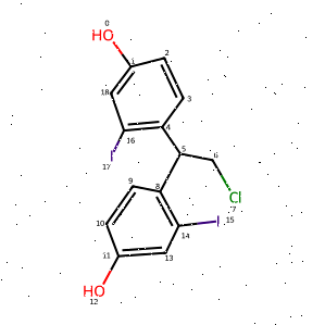 Oc1ccc(C(CCl)c2ccc(O)cc2I)c(I)c1